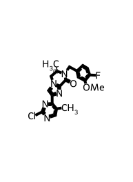 COc1cc(CN2C(=O)c3nc(-c4nc(Cl)ncc4C)cn3C[C@@H]2C)ccc1F